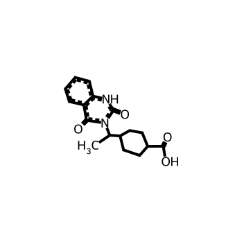 CC(C1CCC(C(=O)O)CC1)n1c(=O)[nH]c2ccccc2c1=O